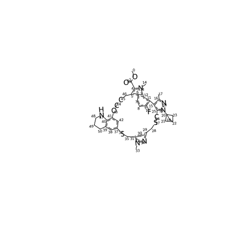 COC(=O)c1c2c3ccc(F)c(c3n1C)-c1c(C)nn(C34CC(C3)C4)c1CSCc1cc(n(C)n1)CSc1cc3c(c(c1)OCCC2)NCCC3